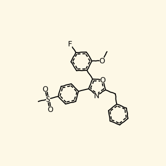 COc1cc(F)ccc1-c1oc(Cc2ccccc2)nc1-c1ccc(S(C)(=O)=O)cc1